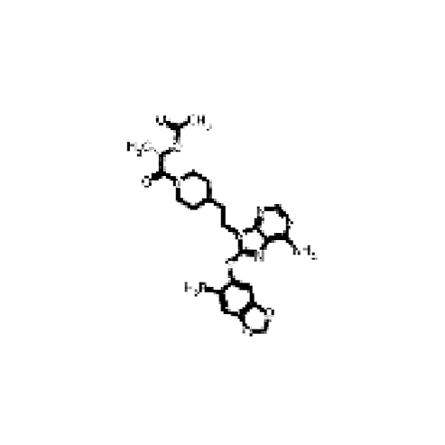 Bc1cc2c(cc1Sc1nc3c(N)ncnc3n1CCC1CCN(C(=O)[C@H](C)OC(C)=O)CC1)OCO2